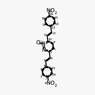 O=[N+]([O-])c1ccc(C=Cc2ccc(C=Cc3ccc([N+](=O)[O-])cc3)[n+]([O-])n2)cc1